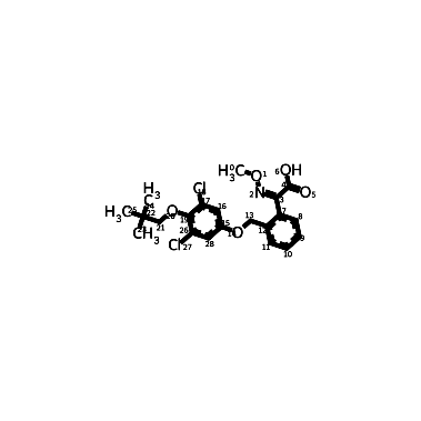 CON=C(C(=O)O)c1ccccc1COc1cc(Cl)c(OCC(C)(C)C)c(Cl)c1